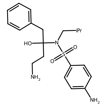 CC(C)CN(C(O)(CCN)Cc1ccccc1)S(=O)(=O)c1ccc(N)cc1